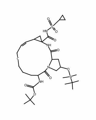 CC(C)(C)OC(=O)NC1CCCCC/C=C\C2CC2(C(=O)NS(=O)(=O)C2CC2)NC(=O)C2CC(O[Si](C)(C)C(C)(C)C)CN2C1=O